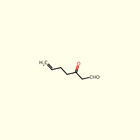 C=CCCC(=O)C[C]=O